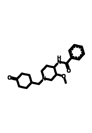 COC1CN(CC2CCC(=O)CC2)CCC1NC(=O)c1ccccc1